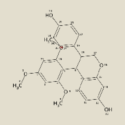 COc1cc(OC)c(C2c3ccc(O)cc3OCC2c2ccc(O)cc2)c(OC)c1